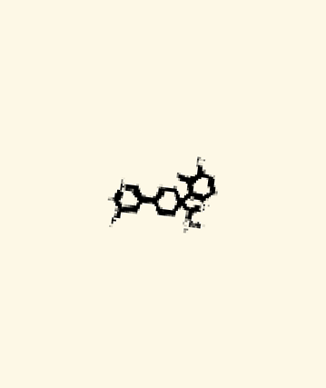 COC(=O)C1(c2cccc(F)c2C)CC=C(c2cncc(F)c2)CC1